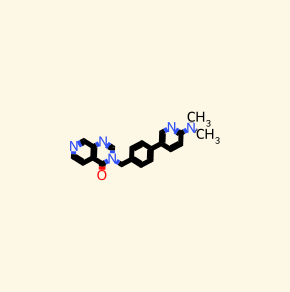 CN(C)c1ccc(-c2ccc(Cn3cnc4cnccc4c3=O)cc2)cn1